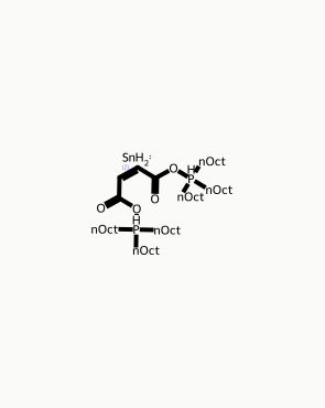 CCCCCCCC[PH](CCCCCCCC)(CCCCCCCC)OC(=O)/C=C\C(=O)O[PH](CCCCCCCC)(CCCCCCCC)CCCCCCCC.[SnH2]